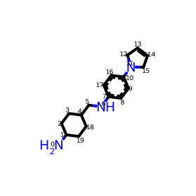 NC1CCC(CNc2ccc(N3CC=CC3)cc2)CC1